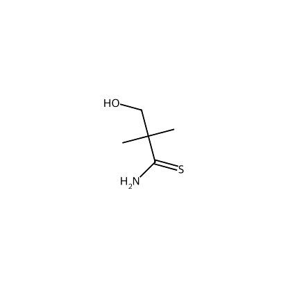 CC(C)(CO)C(N)=S